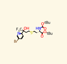 CC(C)(C)OC(=O)N[C@@H](CCSCCC(O)(c1ccc(Br)cn1)C(F)(F)F)C(=O)OC(C)(C)C